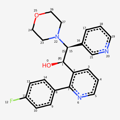 O[C@H](c1cccnc1-c1ccc(F)cc1)[C@H](c1cccnc1)N1CCOCC1